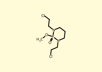 COP1(=O)N(CCCl)CCCN1CCCl